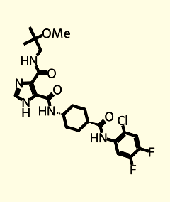 COC(C)(C)CNC(=O)c1nc[nH]c1C(=O)N[C@H]1CC[C@H](C(=O)Nc2cc(F)c(F)cc2Cl)CC1